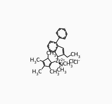 CCC1=Cc2c(-c3ccccc3)cccc2[CH]1[Zr+2]([C]1=C(C)C(C)=C(C)C1C)=[Si](C)C.[Cl-].[Cl-]